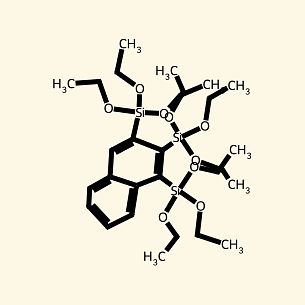 CCO[Si](OCC)(OCC)c1cc2ccccc2c([Si](OCC)(OCC)OCC)c1[Si](OCC)(OCC)OCC